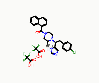 CCCC[C@H]1CN(C(=O)c2cccc3ccccc23)CCN1C(Cc1ccc(Cl)cc1)c1cnc[nH]1.O=C(O)C(F)(F)F.O=C(O)C(F)(F)F